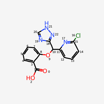 O=C(O)c1ccccc1OC(c1cccc(Cl)n1)c1nc[nH]n1